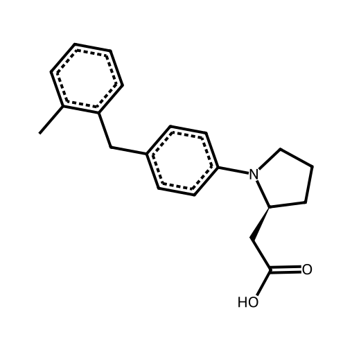 Cc1ccccc1Cc1ccc(N2CCC[C@H]2CC(=O)O)cc1